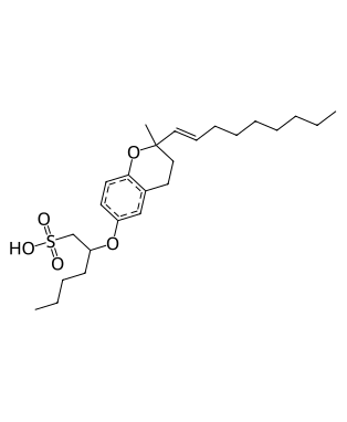 CCCCCCCC=CC1(C)CCc2cc(OC(CCCC)CS(=O)(=O)O)ccc2O1